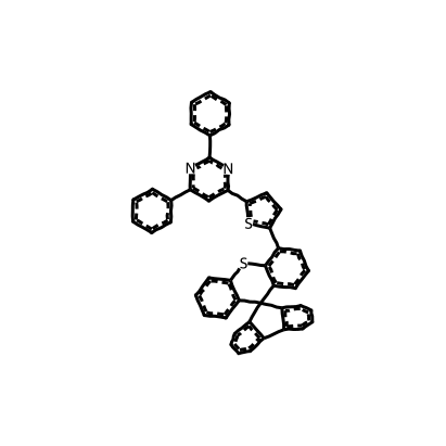 c1ccc(-c2cc(-c3ccc(-c4cccc5c4Sc4ccccc4C54c5ccccc5-c5ccccc54)s3)nc(-c3ccccc3)n2)cc1